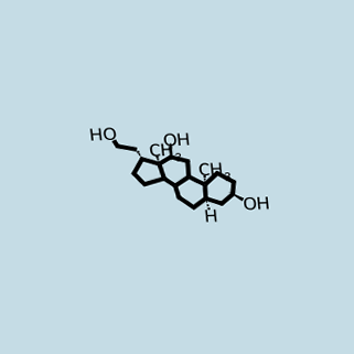 C[C@]12C(CC[C@@H]1CCO)C1CC[C@@H]3C[C@H](O)CC[C@]3(C)C1C[C@@H]2O